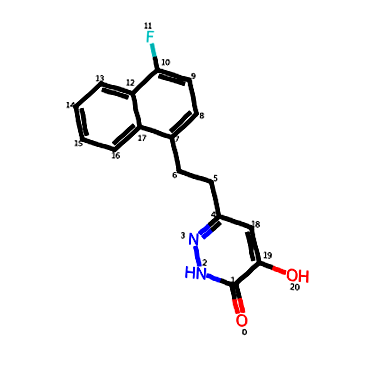 O=c1[nH]nc(CCc2ccc(F)c3ccccc23)cc1O